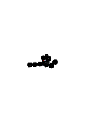 CCC1/C=C(c2cccc3oc4ccccc4c23)\N=C(\c2cccc(-c3ccccc3)c2)CC/C(C)=C/1c1ccc(-c2ccc(-c3ccccc3)cc2)cc1